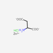 Cl.NC(CC(=O)[O-])C(=O)[O-].[Zn+2]